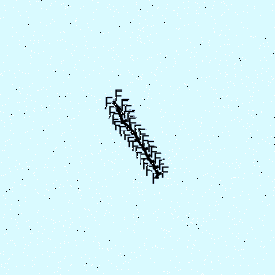 F[C](F)C(F)(F)C(F)(F)C(F)(F)C(F)(F)C(F)(F)C(F)(F)C(F)(F)C(F)(F)C(F)(F)C(F)(F)C(F)(F)C(F)F